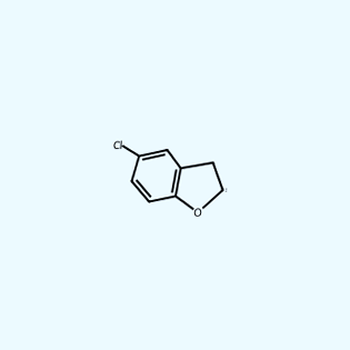 Clc1ccc2c(c1)C[C]O2